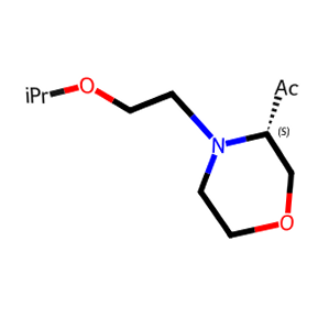 CC(=O)[C@@H]1COCCN1CCOC(C)C